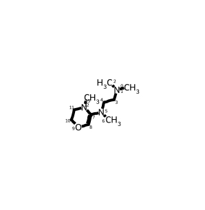 CN(C)CCN(C)C1=COCCN1C